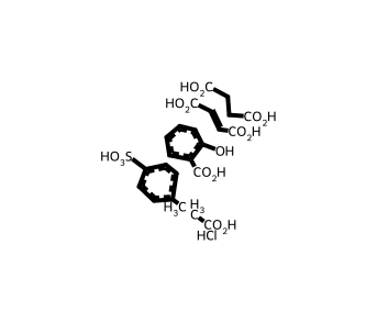 CC(=O)O.Cc1ccc(S(=O)(=O)O)cc1.Cl.O=C(O)C=CC(=O)O.O=C(O)CCC(=O)O.O=C(O)c1ccccc1O